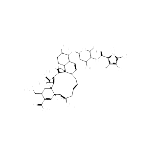 CCC1CC23OC(=O)C(=C2O)C(=O)C2(CC)C(C=CC4C(OC5CC(O)C(NC(=O)c6[nH]c(Cl)c(Cl)c6Cl)C(C)O5)C(C)CCC42)C/C=C/C/C(C)=C/C3(C)C=C1C(=O)O